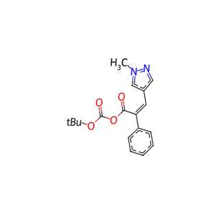 Cn1cc(/C=C(\C(=O)OC(=O)OC(C)(C)C)c2ccccc2)cn1